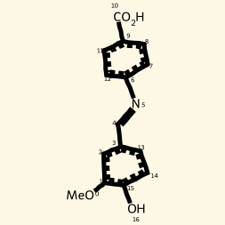 COc1cc(C=Nc2ccc(C(=O)O)cc2)ccc1O